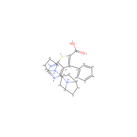 O=C(O)c1sc2ncnc(N3C4CCC3CC(N3CCCC3)C4)c2c1-c1ccccc1